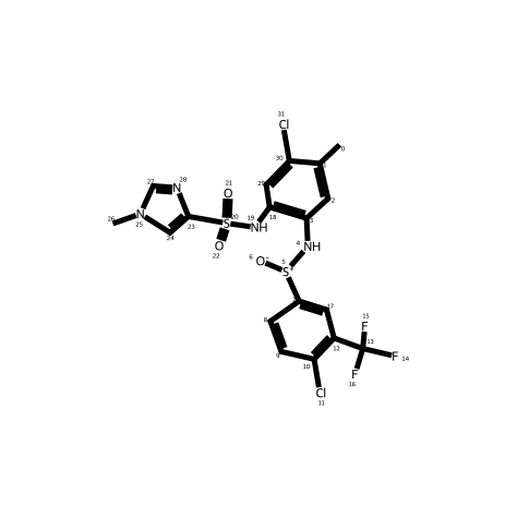 Cc1cc(N[S+]([O-])c2ccc(Cl)c(C(F)(F)F)c2)c(NS(=O)(=O)c2cn(C)cn2)cc1Cl